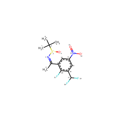 C/C(=N/[S@+]([O-])C(C)(C)C)c1cc([N+](=O)[O-])cc(C(F)F)c1F